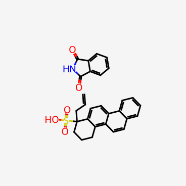 C=CCC1(S(=O)(=O)O)CCCc2c1ccc1c2ccc2ccccc21.O=C1NC(=O)c2ccccc21